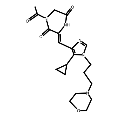 CC(=O)N1CC(=O)N/C(=C\c2ncn(CCCN3CCOCC3)c2C2CC2)C1=O